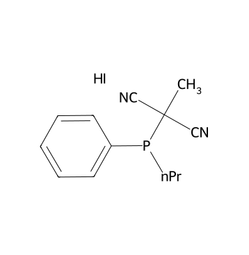 CCCP(c1ccccc1)C(C)(C#N)C#N.I